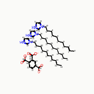 CCCCCCCCCCC[n+]1cc[nH]c1.CCCCCCCCCCC[n+]1cc[nH]c1.CCCCCCCCCCC[n+]1cc[nH]c1.O=C([O-])c1ccc(C(=O)[O-])c(C(=O)[O-])c1